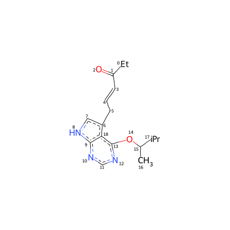 CCC(=O)C=CCc1c[nH]c2ncnc(OC(C)C(C)C)c12